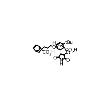 CC(C)(C)C12C=CC(CC1)CC2C(=O)O.CCC1=CC(=O)NC1=O.O=C(O)C1(CCCO)CC2C=CC1C2